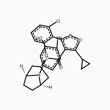 N#Cc1ccc(N2[C@@H]3CC[C@H]2C[C@@H](OC(=O)c2c(-c4c(Cl)cccc4Cl)noc2C2CC2)C3)cc1O